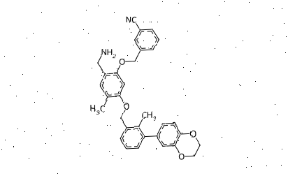 Cc1cc(CN)c(OCc2cccc(C#N)c2)cc1OCc1cccc(-c2ccc3c(c2)OCCO3)c1C